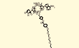 Nc1ncnc2c1ncn2[C@@H]1O[C@@H]2COP(=O)(SCc3ccc(OC(=O)c4ccc(OCCOCCOCCOCCCO)cc4)cc3)O[C@H]3[C@@H](F)[C@H](n4ccc(=O)[nH]c4=O)O[C@@H]3COP(=O)(O)O[C@H]2[C@H]1F